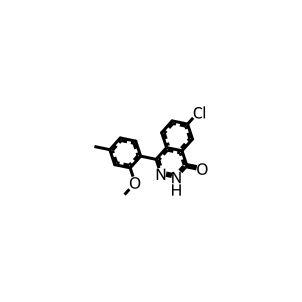 COc1cc(C)ccc1-c1n[nH]c(=O)c2cc(Cl)ccc12